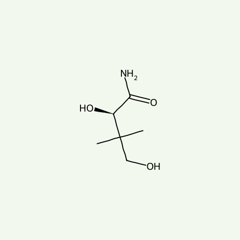 CC(C)(CO)[C@@H](O)C(N)=O